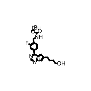 CC(C)(C)OC(=O)NCc1ccc(-c2ncnn3cc(CCCCO)cc23)cc1F